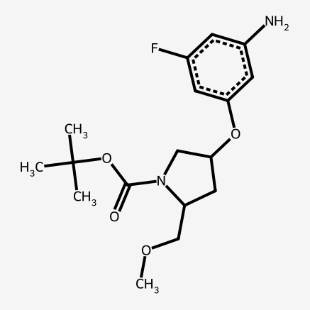 COCC1CC(Oc2cc(N)cc(F)c2)CN1C(=O)OC(C)(C)C